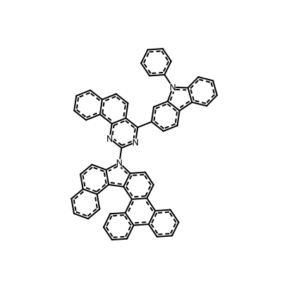 c1ccc(-n2c3ccccc3c3ccc(-c4nc(-n5c6ccc7ccccc7c6c6c7c8ccccc8c8ccccc8c7ccc65)nc5c4ccc4ccccc45)cc32)cc1